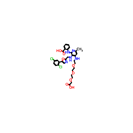 Cc1cc(NCCOCCOCCOCC(=O)O)c(NCc2ncc(-c3cc(Cl)ccc3Cl)o2)c(Nc2ccccc2C(=O)O)n1